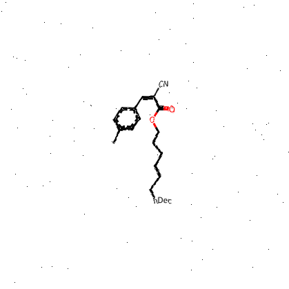 CCCCCCCCCCCCCCCCOC(=O)C(C#N)=Cc1ccc(C)cc1